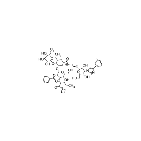 CCC[C@H](OC1C(OC(=O)c2ccccc2)[C@H](O[C@@H]2CC(C(=O)NCCO[C@H]3OC(CO)[C@@H](O)C(n4cc(-c5cccc(F)c5)nn4)C3O)CC(CC)C2O[C@@H]2OC(C)[C@@H](O)C(O)C2O)OC(CO)[C@@H]1O)C(=O)N1CCC1